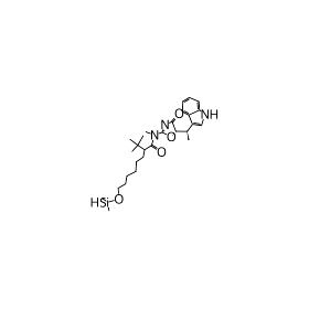 C[C@H](c1c[nH]c2ccccc12)[C@@H]1OC(N(C)C(=O)C(CCCCCCO[SiH](C)C)C(C)(C)C)=NC1=O